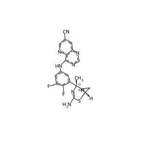 C[C@]1(c2cc(Nc3ncnc4cc(C#N)cnc34)cc(F)c2F)N=C(N)S[C@H]2C[C@H]21